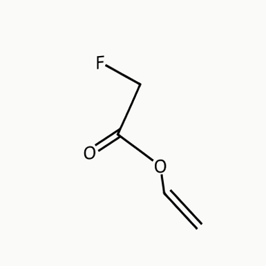 C=COC(=O)CF